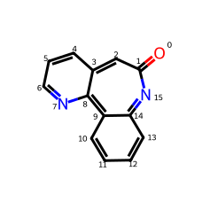 O=c1cc2cccnc2c2ccccc2n1